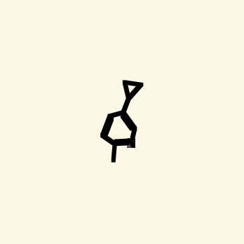 Cc1ccc(C2CC2)cn1